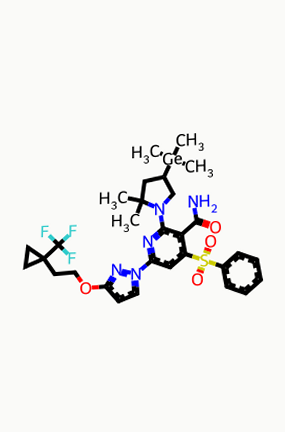 CC1(C)C[CH]([Ge]([CH3])([CH3])[CH3])CN1c1nc(-n2ccc(OCCC3(C(F)(F)F)CC3)n2)cc(S(=O)(=O)c2ccccc2)c1C(N)=O